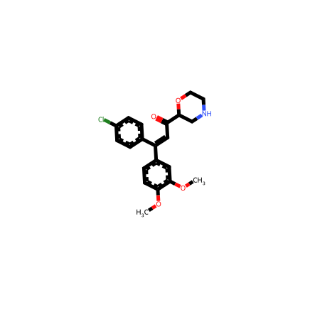 COc1ccc(/C(=C/C(=O)C2CNCCO2)c2ccc(Cl)cc2)cc1OC